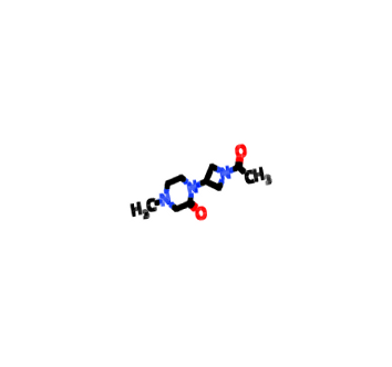 CC(=O)N1CC(N2CCN(C)CC2=O)C1